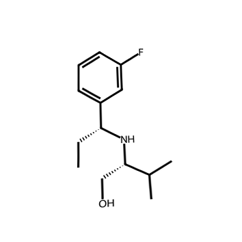 CC[C@@H](N[C@@H](CO)C(C)C)c1cccc(F)c1